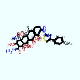 COc1ccc(-c2csc(Nc3ccc4c(c3O)C(=O)C3=C(O)[C@]5(O)C(=O)C(C(N)=O)=C(O)[C@@H](N(C)C)[C@@H]5[C@@H](O)[C@@H]3[C@H]4C)n2)cc1